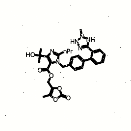 CCCc1nc(C(C)(C)O)c(C(=O)OCc2oc(=O)oc2C)n1Cc1ccc(-c2ccccc2C2=NNN(C)N2)cc1